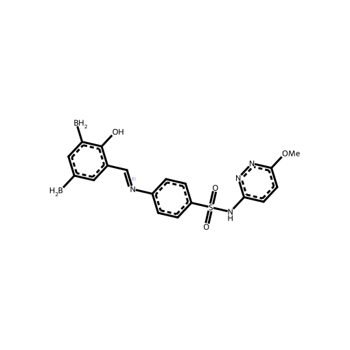 Bc1cc(B)c(O)c(/C=N/c2ccc(S(=O)(=O)Nc3ccc(OC)nn3)cc2)c1